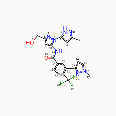 Cc1cc(-n2nc(CO)cc2NC(=O)c2ccc(C(F)(F)F)c(-c3ccn(C)n3)c2)[nH]n1